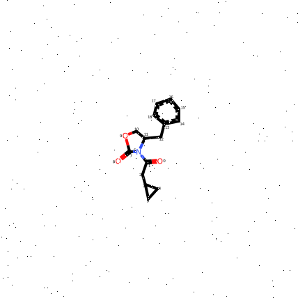 O=C(CC1CC1)N1C(=O)OCC1Cc1ccccc1